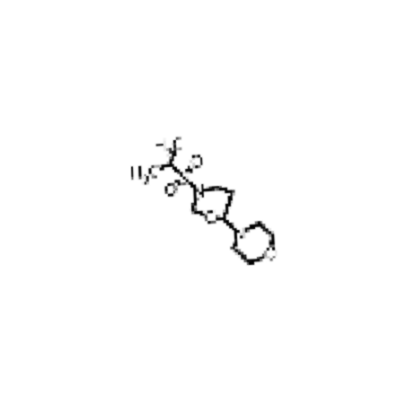 CC(C)S(=O)(=O)N1CCC(N2CCOCC2)CC1